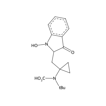 CC(C)(C)N(C(=O)O)C1(CC2C(=O)c3ccccc3N2O)CC1